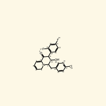 O=C1C2=CC=CCN2C(Cc2ccc(Cl)nc2)N(O)C1c1ccc(F)cc1F